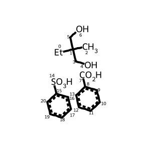 CCC(C)(CO)CO.O=C(O)c1ccccc1.O=S(=O)(O)c1ccccc1